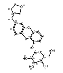 OC[C@H]1O[C@@H](Oc2cccc(Cl)c2Cc2ccc(O[C@H]3CCOC3)cc2)[C@H](O)[C@@H](O)[C@@H]1O